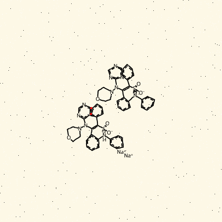 O=S(=O)([O-])C(=C(c1ccccc1Nc1ccccc1)N(c1ncncn1)N1CCOCC1)c1ccccc1.O=S(=O)([O-])C(=C(c1ccccc1Nc1ccccc1)N(c1ncncn1)N1CCOCC1)c1ccccc1.[Na+].[Na+]